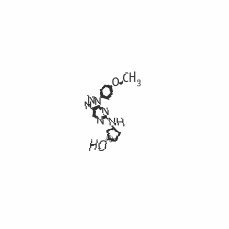 CCOc1ccc(-n2nnc3cnc(NC4CC[C@@H](O)C4)nc32)cc1